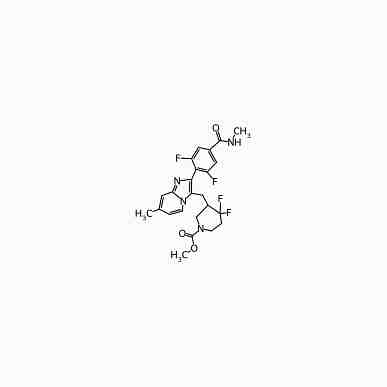 CNC(=O)c1cc(F)c(-c2nc3cc(C)ccn3c2CC2CN(C(=O)OC)CCC2(F)F)c(F)c1